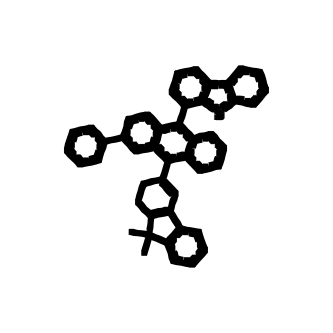 CC1(C)C2=C(C=C(c3c4ccccc4c(-c4cccc5c4sc4ccccc45)c4ccc(-c5ccccc5)cc34)CC2)c2ccccc21